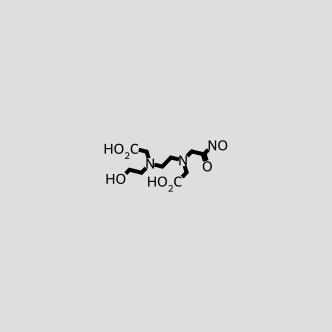 O=NC(=O)CN(CCN(CCO)CC(=O)O)CC(=O)O